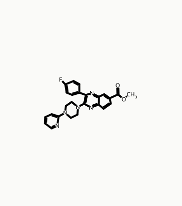 COC(=O)c1ccc2nc(N3CCN(c4ccccn4)CC3)c(-c3ccc(F)cc3)nc2c1